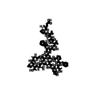 CC(C)C[C@H](NC(=O)[C@H](C)NC(=O)CNC(=O)[C@H](CO)NC(=O)[C@H](CC(N)=O)NC(=O)[C@H](Cc1c[nH]c2ccccc12)NC(=O)[C@H](CO)NC(=O)[C@@H](NC(=O)[C@@H](NC(=O)[C@@H](NC(=O)[C@@H]1CCCN1C(=O)[C@@H](N)CCC(=O)O)C(C)C)[C@@H](C)O)C(C)C)C(=O)N[C@H](C(=O)N[C@@H](CO)C(=O)NCC(=O)N[C@H](C(=O)N[C@@H](Cc1c[nH]cn1)C(=O)N[C@H](C(=O)N[C@@H](Cc1ccccc1)C(=O)N1CCC[C@H]1C(=O)O)[C@@H](C)O)C(C)C)[C@@H](C)O